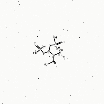 C[C@@H](O)[C@@H](C(N)=O)N(CP(=O)(O)O)CP(=O)(O)O